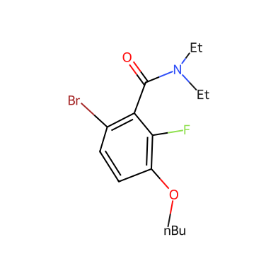 CCCCOc1ccc(Br)c(C(=O)N(CC)CC)c1F